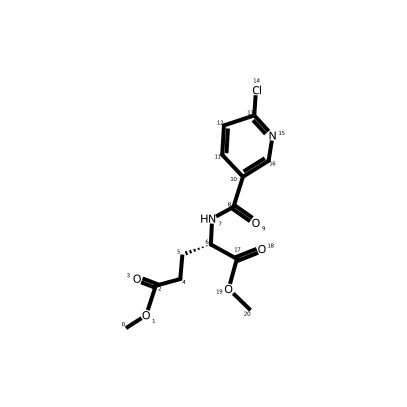 COC(=O)CC[C@H](NC(=O)c1ccc(Cl)nc1)C(=O)OC